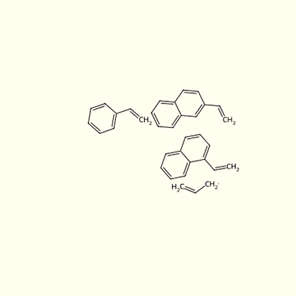 C=Cc1ccc2ccccc2c1.C=Cc1cccc2ccccc12.C=Cc1ccccc1.[CH2]C=C